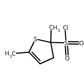 CC1=CCC(C)(S(=O)(=O)Cl)S1